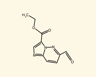 CCOC(=O)c1cnc2ccc(C=O)nn12